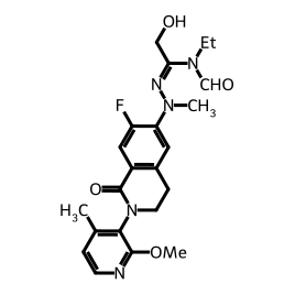 CCN(C=O)/C(CO)=N\N(C)c1cc2c(cc1F)C(=O)N(c1c(C)ccnc1OC)CC2